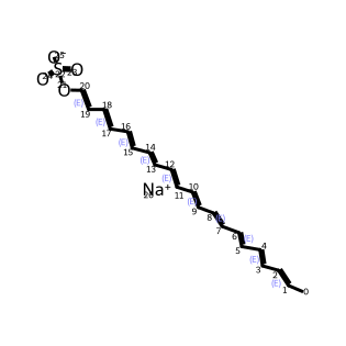 C/C=C/C=C/C=C/C=C/C=C/C=C/C=C/C=C/C=C/C=C/OS(=O)(=O)[O-].[Na+]